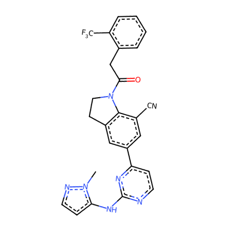 Cn1nccc1Nc1nccc(-c2cc(C#N)c3c(c2)CCN3C(=O)Cc2ccccc2C(F)(F)F)n1